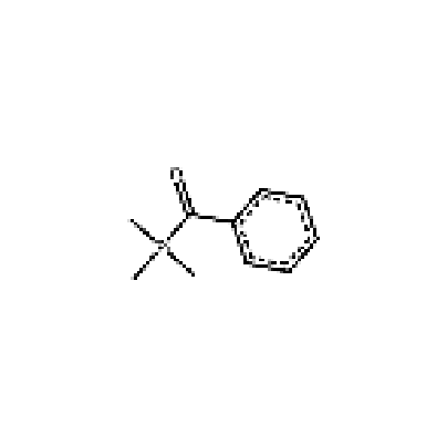 C[P](C)(C)C(=O)c1ccccc1